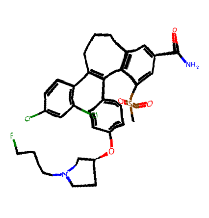 CS(=O)(=O)c1cc(C(N)=O)cc2c1C(c1ccc(O[C@H]3CCN(CCCF)C3)cc1)=C(c1ccc(Cl)cc1Cl)CCC2